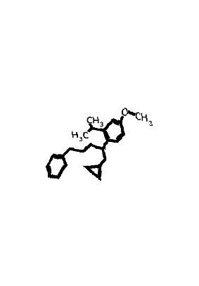 COc1ccc([C](CCCc2ccccc2)CC2CC2)c(C(C)C)c1